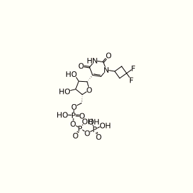 O=c1[nH]c(=O)n(C2CC(F)(F)C2)cc1[C@@H]1O[C@H](COP(=O)(O)OP(=O)(O)OP(=O)(O)O)C(O)C1O